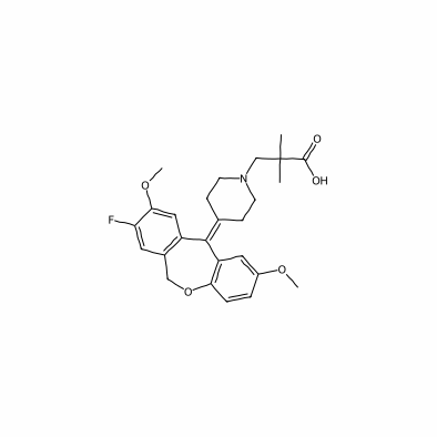 COc1ccc2c(c1)C(=C1CCN(CC(C)(C)C(=O)O)CC1)c1cc(OC)c(F)cc1CO2